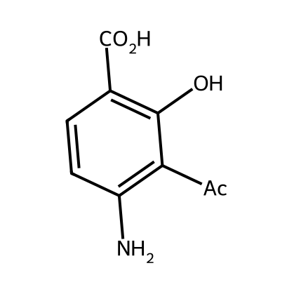 CC(=O)c1c(N)ccc(C(=O)O)c1O